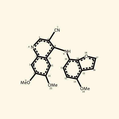 COc1cc2ncc(C#N)c(Nc3ccc(OC)c4ccoc34)c2cc1OC